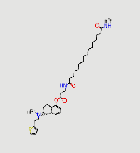 CCCNC(=O)CCCCCCCCCCCCCCC(=O)NCCC(=O)Oc1cccc2c1CC[C@@H](N(CCC)CCc1cccs1)C2